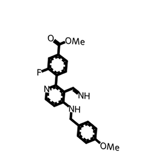 COC(=O)c1ccc(-c2nccc(NCc3ccc(OC)cc3)c2C=N)c(F)c1